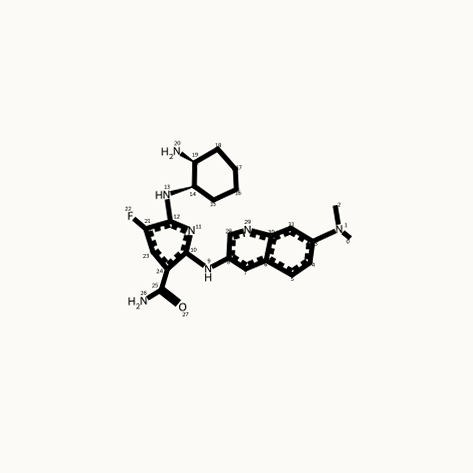 CN(C)c1ccc2cc(Nc3nc(N[C@@H]4CCCC[C@@H]4N)c(F)cc3C(N)=O)cnc2c1